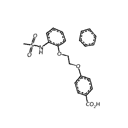 CS(=O)(=O)Nc1ccccc1OCCOc1ccc(C(=O)O)cc1.c1ccccc1